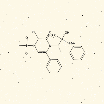 CC(=O)NC(O)(C(=O)O)[C@H](Cc1ccccc1)N1C(=O)C(C(C)C)N(S(C)(=O)=O)C=C1c1ccccc1